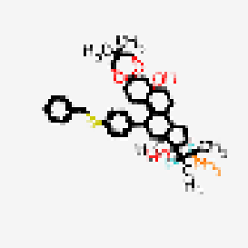 CC1(C)COC2(CCC3=C4C(c5ccc(SCc6ccccc6)cc5)C[C@@]5(C)C(CC[C@@]5(O)[C@@](C)(F)C(C)(F)P)C4CC[C@@]3(O)C2)OC1